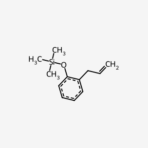 C=CCc1ccccc1O[Si](C)(C)C